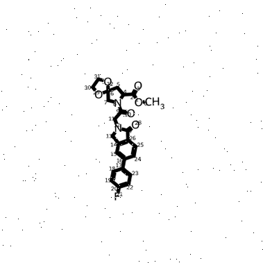 COC(=O)C1CC2(CN1C(=O)CN1Cc3cc(-c4ccc(F)cc4)ccc3C1=O)OCCO2